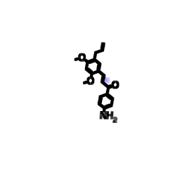 C=CCc1cc(/C=C/C(=O)c2ccc(N)cc2)c(OC)cc1OC